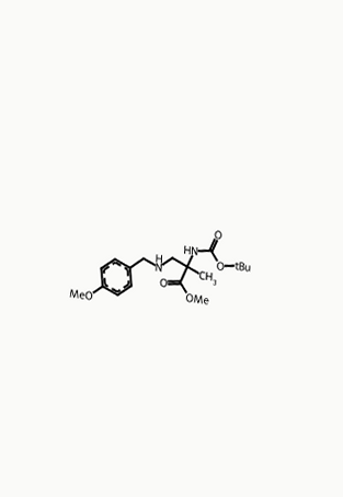 COC(=O)C(C)(CNCc1ccc(OC)cc1)NC(=O)OC(C)(C)C